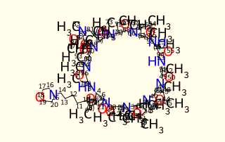 CC[C@@H]1NC(=O)[C@@H]2[C@@H]([C@H](C)CCCCCN3CCOCC3)ON2C(=O)[C@H](C(C)C)N(C)C(=O)[C@H](CC(C)C)N(C)C(=O)[C@H](CC(C)C)N(C)C(=O)[C@@H](C)NC(=O)[C@H](C)NC(=O)[C@H](CC(C)C)N(C)C(=O)[C@H](C(C)C)NC(=O)[C@H](C(C)(C)CN(C)C(=O)OC)N(C)C(=O)[C@@H](C)N(C)C1=O